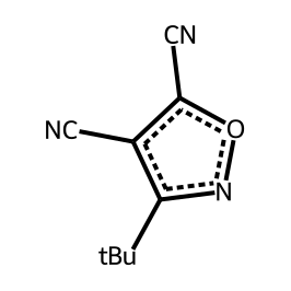 CC(C)(C)c1noc(C#N)c1C#N